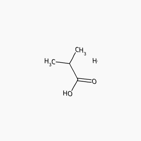 CC(C)C(=O)O.[H]